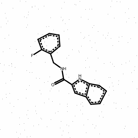 O=C(NCc1ccccc1F)c1cc2ccccc2[nH]1